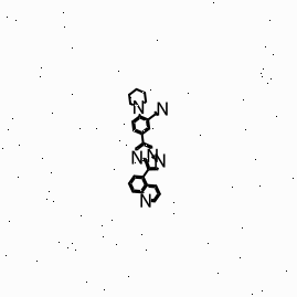 N#Cc1cc(-c2cnc3c(-c4cccc5ncccc45)cnn3c2)ccc1N1CCCCC1